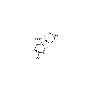 CC(=O)C1=CCC(C(=O)O)(N2CCNCC2)C=C1